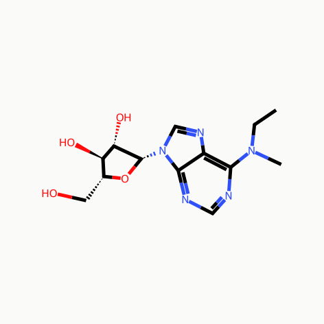 CCN(C)c1ncnc2c1ncn2[C@@H]1O[C@H](CO)[C@@H](O)[C@@H]1O